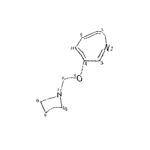 c1cncc(OCN2CCC2)c1